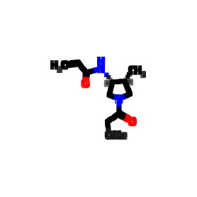 C=CC(=O)N[C@H]1CN(C(=O)COC)C[C@H]1C